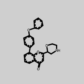 O=c1cc(C2CNCCO2)oc2c(-c3ccc(Oc4ccccc4)cc3)cccc12